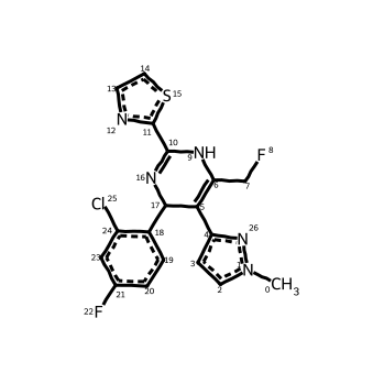 Cn1ccc(C2=C(CF)NC(c3nccs3)=NC2c2ccc(F)cc2Cl)n1